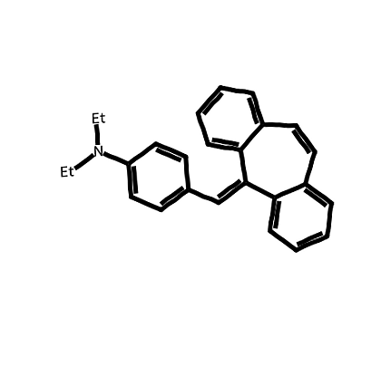 CCN(CC)c1ccc(C=C2c3ccccc3C=Cc3ccccc32)cc1